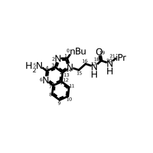 CCCCc1nc2c(N)nc3ccccc3c2n1CCNC(=O)NC(C)C